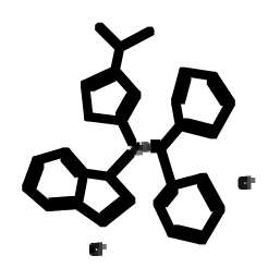 CC(C)C1=CC[C]([Zr+2](=[C](c2ccccc2)c2ccccc2)[CH]2C=Cc3ccccc32)=C1.[Cl-].[Cl-]